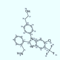 NCc1ccccc1-c1nc2cc(C(F)(F)F)c(Cl)cc2n1-c1ccc(CCO)cc1